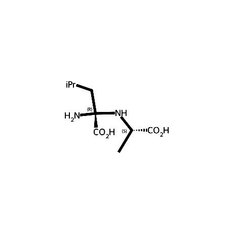 CC(C)C[C@@](N)(N[C@@H](C)C(=O)O)C(=O)O